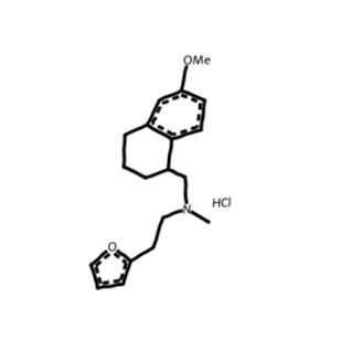 COc1ccc2c(c1)CCCC2CN(C)CCc1ccco1.Cl